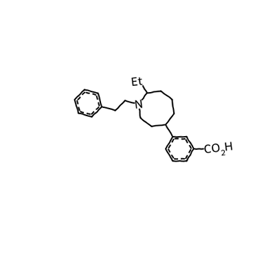 CCC1CCCC(c2cccc(C(=O)O)c2)CCN1CCc1ccccc1